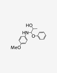 COc1ccc(NC(Oc2ccccc2)C(C)O)cc1